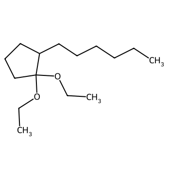 CCCCCCC1CCCC1(OCC)OCC